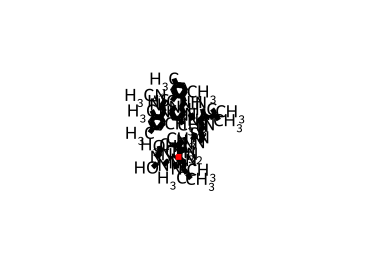 Cc1cc(C)c(Nc2nc(N(c3nc(C)ns3)c3c(C)cc(C)cc3C)cc(C)c2N=Nc2c(C#N)c(C(C)(C)C)nn2-c2nnc(-n3nc(C(C)(C)C)c(C#N)c3N=Nc3c(C(C)(C)C)nn(-c4nc(O)nc(O)n4)c3N)s2)c(C)c1